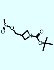 CS(=O)OCC1CN(C(=O)OC(C)(C)C)C1